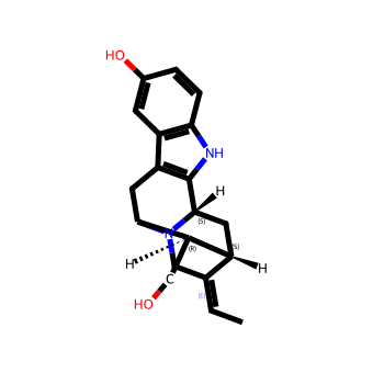 C/C=C1/CN2C3Cc4c([nH]c5ccc(O)cc45)[C@@H]2C[C@H]1[C@H]3CO